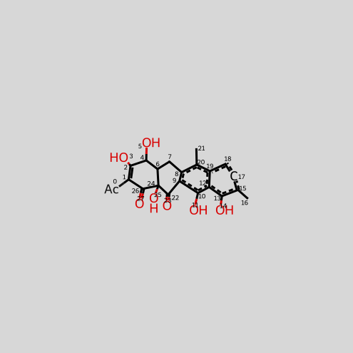 CC(=O)C1=C(O)C(O)C2Cc3c(c(O)c4c(O)c(C)ccc4c3C)C(=O)C2(O)C1=O